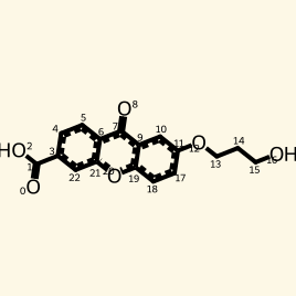 O=C(O)c1ccc2c(=O)c3cc(OCCCO)ccc3oc2c1